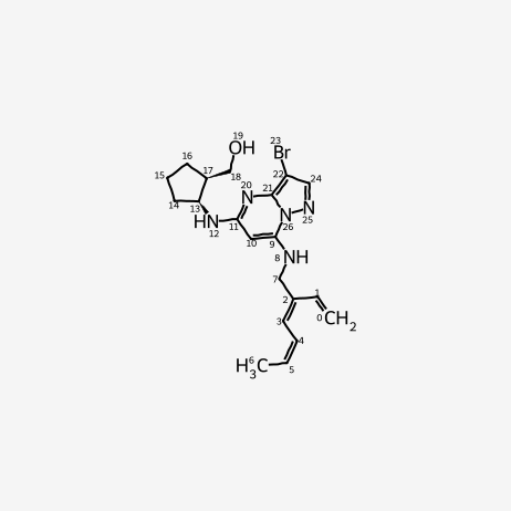 C=C/C(=C\C=C/C)CNc1cc(N[C@H]2CCC[C@H]2CO)nc2c(Br)cnn12